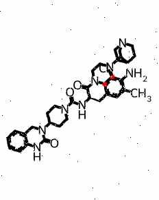 Cc1cc(C[C@@H](NC(=O)N2CCC(N3Cc4ccccc4NC3=O)CC2)C(=O)N2CCN(C3CN4CCC3CC4)CC2)cc(Cl)c1N